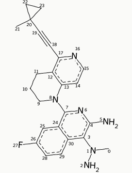 CN(N)c1c(N)nc(N2CCCc3c2ccnc3C#CC2(C)CC2)c2cc(F)ccc12